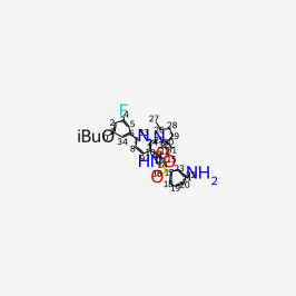 CC(C)COc1cc(F)cc(-c2ccc(C(=O)NS(=O)(=O)c3cccc(N)c3)c(N3C(C)CCC3(C)C)n2)c1